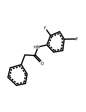 O=C(Cc1ccccc1)Nc1ccc(F)cc1F